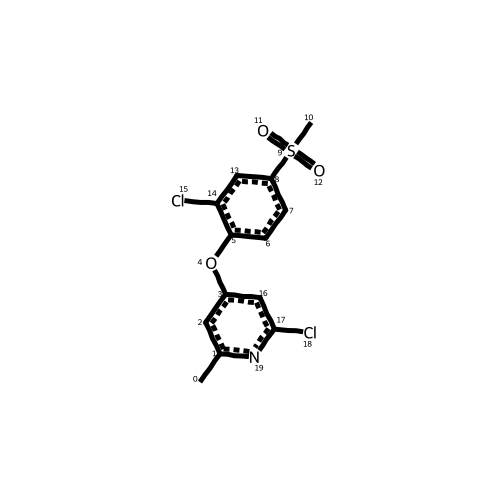 Cc1cc(Oc2ccc(S(C)(=O)=O)cc2Cl)cc(Cl)n1